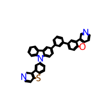 c1cc(-c2ccc3oc4ccncc4c3c2)cc(-c2ccc3c(c2)c2ccccc2n3-c2ccc3sc4ccncc4c3c2)c1